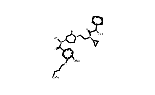 COCCCOc1cc(C(=O)N(C(C)C)[C@@H]2CC[C@H](CCN(C(=O)[C@H](O)c3ccccc3)C3CC3)NC2)ccc1OC